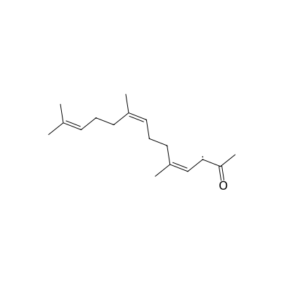 CC(=O)[CH]C=C(C)CCC=C(C)CCC=C(C)C